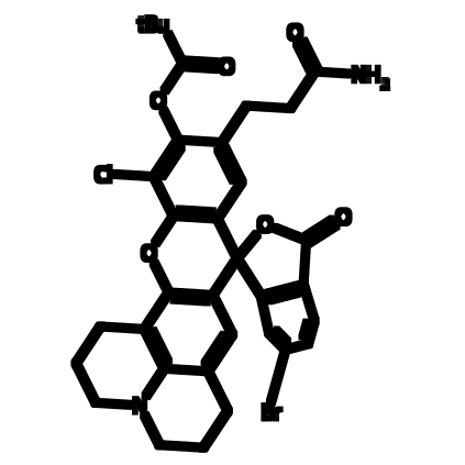 CC(C)(C)C(=O)Oc1c(CCC(N)=O)cc2c(c1Cl)Oc1c(cc3c4c1CCCN4CCC3)C21OC(=O)c2ccc(Br)cc21